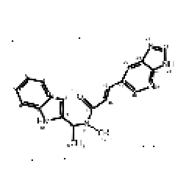 CC(c1cc2ccccc2[nH]1)N(C)C(=O)/C=C/c1cnc2[nH]cnc2c1